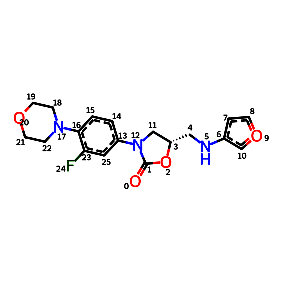 O=C1O[C@@H](CNc2ccoc2)CN1c1ccc(N2CCOCC2)c(F)c1